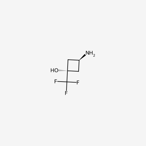 N[C@H]1C[C@@](O)(C(F)(F)F)C1